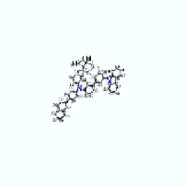 C[C@H]1C[C@H]2C[C@H]3CC(c4cccc(N(c5ccc(-c6ccc7ccccc7c6)cc5)c5cccc(-c6cccc(-n7c8ccccc8c8ccccc87)c6)c5)c4)(C1)C23